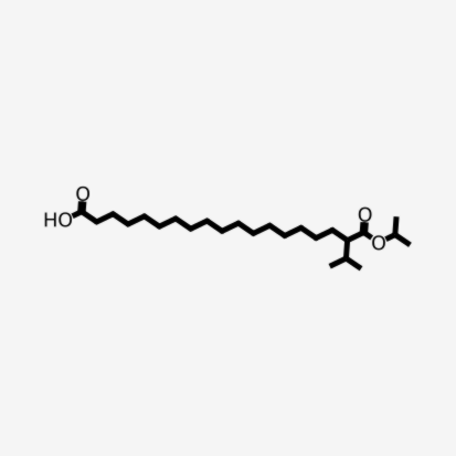 CC(C)OC(=O)C(CCCCCCCCCCCCCCCCC(=O)O)C(C)C